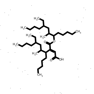 CCCCCC(OC(=O)C(=CC(=O)O)C(CCCCC)C(C)CC(CC)CCCC)C(C)CC(CC)CCCC